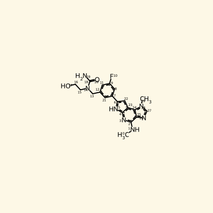 CNc1nc2[nH]c(-c3cc(F)cc(CN(CCO)C(N)=O)c3)cc2c2c1ncn2C